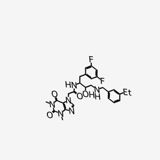 CCc1cccc(CNCC(O)C(Cc2cc(F)cc(F)c2)NC(=O)Cn2cnc3c2c(=O)n(C)c(=O)n3C)c1